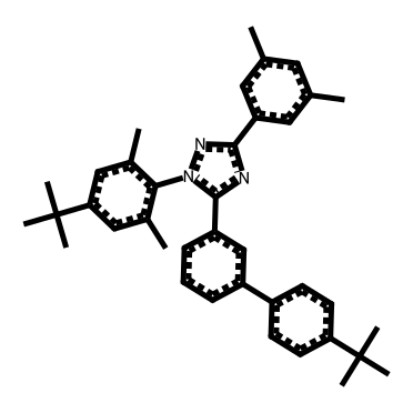 Cc1cc(C)cc(-c2nc(-c3cccc(-c4ccc(C(C)(C)C)cc4)c3)n(-c3c(C)cc(C(C)(C)C)cc3C)n2)c1